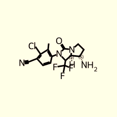 Cc1c(N2C(=O)N3CC[C@H](N)[C@H]3C2C(F)(F)F)ccc(C#N)c1Cl